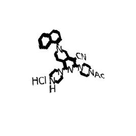 CC(=O)N1CCN(c2nc(N3CCNCC3)c3c(c2C#N)CN(c2cccc4ccccc24)CC3)CC1.Cl